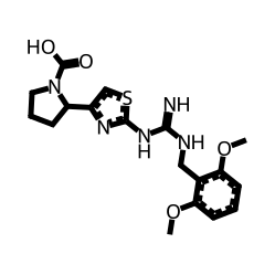 COc1cccc(OC)c1CNC(=N)Nc1nc(C2CCCN2C(=O)O)cs1